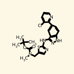 CN(Cc1cnc(Nc2n[nH]c3ccc(-c4ncccc4Cl)cc23)s1)C(=O)OC(C)(C)C